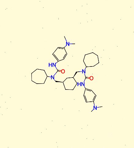 CN(C)c1ccc(NC(=O)N(C[C@@H]2CCC[C@H](CN(C(=O)Nc3ccc(N(C)C)cc3)C3CCCCCC3)C2)C2CCCCCC2)cc1